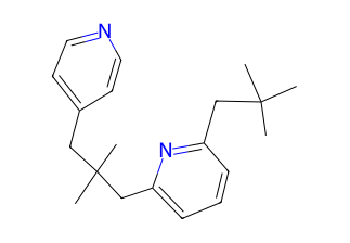 CC(C)(C)Cc1cccc(CC(C)(C)Cc2ccncc2)n1